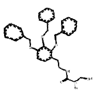 CC[C@@H](CO)C(=O)NCCc1ccc(OCc2ccccc2)c(OCc2ccccc2)c1OCc1ccccc1